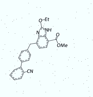 CCOc1nc2c(Cc3ccc(-c4ccccc4C#N)cc3)ccc(C(=O)OC)c2[nH]1